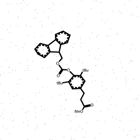 COC(=O)CCc1cc(C(C)(C)C)c(OC(=O)OCC2c3ccccc3-c3ccccc32)c(C(C)(C)C)c1